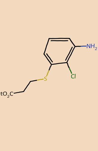 CCOC(=O)CCSc1cccc(N)c1Cl